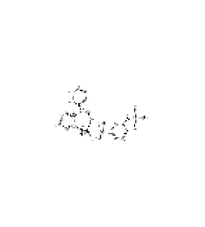 O=C(N[C@H]1N=C(c2ccccc2)c2ccccc2NC1=O)c1cccc(SC(F)(F)F)c1